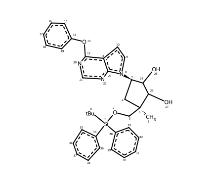 CC(C)(C)[Si](OC[C@@]1(C)C[C@@H](n2ccc3c(Oc4ccccc4)ncnc32)C(O)C1O)(c1ccccc1)c1ccccc1